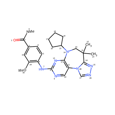 CNC(=O)c1ccc(Nc2ncc3c(n2)N(C2CCCC2)CC(C)(C)c2nncn2-3)c(OC)c1